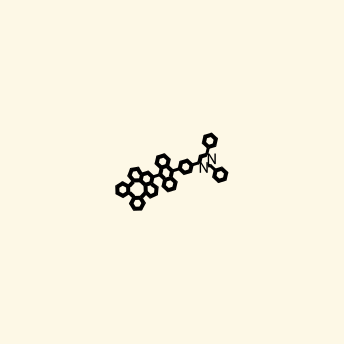 c1ccc(-c2cc(-c3ccc(-c4c5ccccc5c(-c5cc6cccc7c8ccccc8c8ccccc8c8cccc5c8c67)c5ccccc45)cc3)nc(-c3ccccc3)n2)cc1